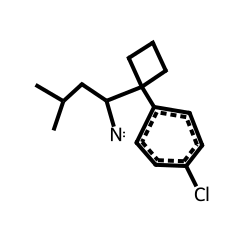 CC(C)CC([N])C1(c2ccc(Cl)cc2)CCC1